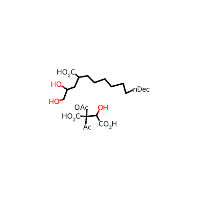 CC(=O)OC(C(C)=O)(C(=O)O)C(O)C(=O)O.CCCCCCCCCCCCCCCCC(CC(O)CO)C(=O)O